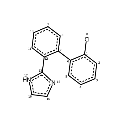 Clc1ccccc1-c1ccccc1-c1ncc[nH]1